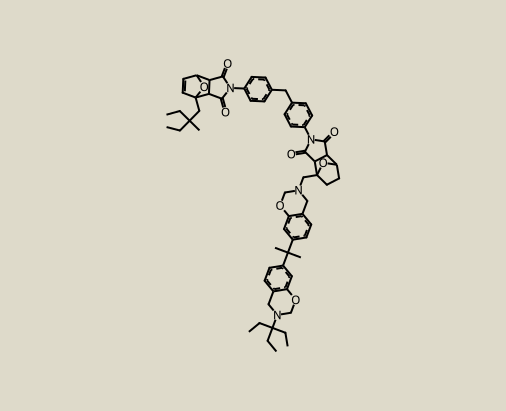 CCC(C)(CC)CC12C=CC(O1)C1C(=O)N(c3ccc(Cc4ccc(N5C(=O)C6C7CCC(CN8COc9cc(C(C)(C)c%10ccc%11c(c%10)OCN(C(CC)(CC)CC)C%11)ccc9C8)(O7)C6C5=O)cc4)cc3)C(=O)C12